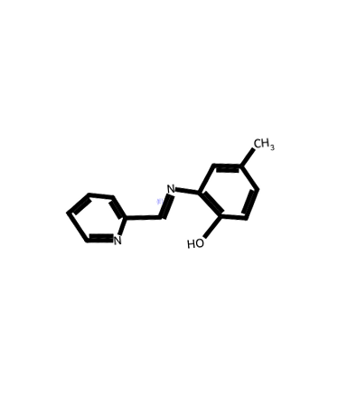 Cc1ccc(O)c(/N=C/c2ccccn2)c1